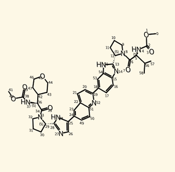 COC(=O)N[C@H](C(=O)N1CCC[C@H]1c1nc2ccc(-c3ccc4cc(-c5cnc([C@@H]6CCCN6C(=O)[C@@H](NC(=O)OC)C6CCOCC6)[nH]5)ccc4n3)cc2[nH]1)C(C)C